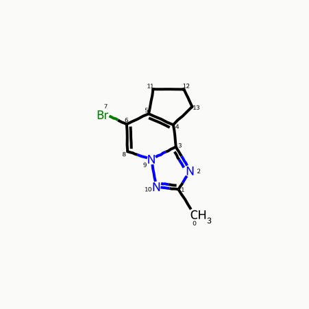 Cc1nc2c3c(c(Br)cn2n1)CCC3